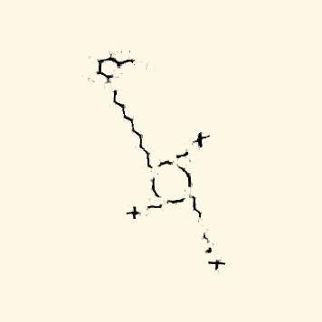 CC(C)(C)OC(=O)CN1CCCN(CCCSSCNC(=O)OC(C)(C)C)CCN(CC(=O)OC(C)(C)C)CCCN(CCCCCCCCCCO[C@@H]2OC(CO)[C@@H](O)[C@H](O)C2O)CC1